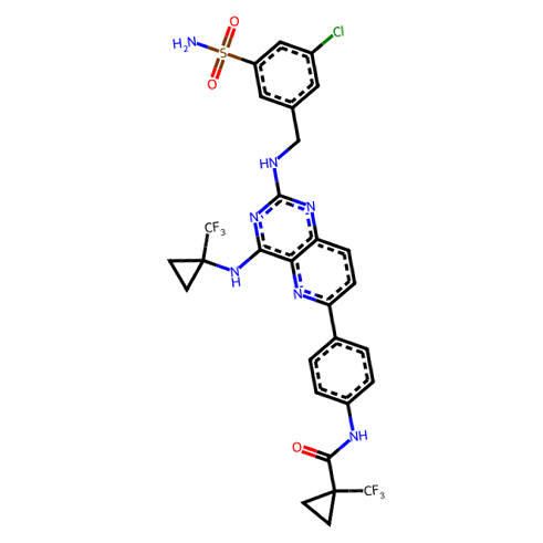 NS(=O)(=O)c1cc(Cl)cc(CNc2nc(NC3(C(F)(F)F)CC3)c3nc(-c4ccc(NC(=O)C5(C(F)(F)F)CC5)cc4)ccc3n2)c1